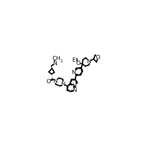 C=NC[C@H]1C[C@H](C(=O)N2CCN(c3ccnn4cc(-c5ccc(C6(OCC)CCN(C7COC7)CC6)cn5)cc34)CC2)C1